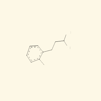 Cc1ccccc1CCC(C)C